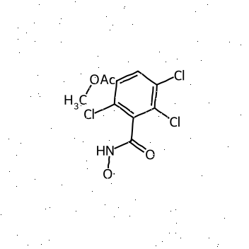 COC(C)=O.[O]NC(=O)c1c(Cl)ccc(Cl)c1Cl